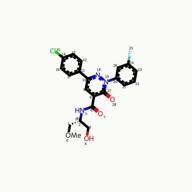 COC[C@@H](CO)NC(=O)c1cc(-c2ccc(Cl)cc2)nn(-c2cccc(F)c2)c1=O